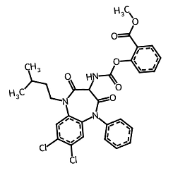 COC(=O)c1ccccc1OC(=O)NC1C(=O)N(CCC(C)C)c2cc(Cl)c(Cl)cc2N(c2ccccc2)C1=O